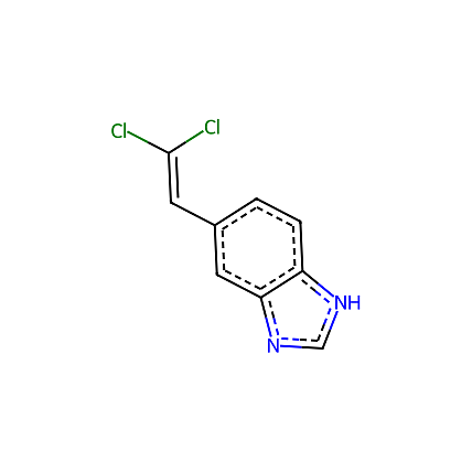 ClC(Cl)=Cc1ccc2[nH]cnc2c1